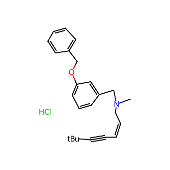 CN(C/C=C\C#CC(C)(C)C)Cc1cccc(OCc2ccccc2)c1.Cl